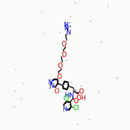 Cn1ncc(OCCOCCOCCOCCN=[N+]=[N-])c(-c2ccc(C[C@H](NC(=O)c3c(Cl)cncc3Cl)C(=O)O)cc2)c1=O